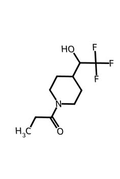 CCC(=O)N1CCC(C(O)C(F)(F)F)CC1